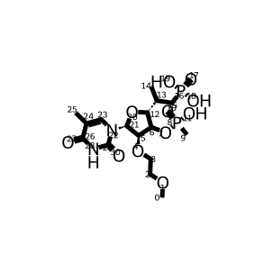 COCCO[C@@H]1C(OP(C)(=O)O)[C@@H](C(C)CP(=O)(O)O)O[C@H]1n1cc(C)c(=O)[nH]c1=O